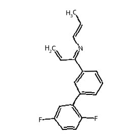 C=C/C(=N\C=C\C)c1cccc(-c2cc(F)ccc2F)c1